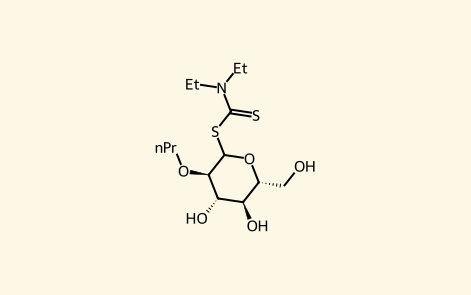 CCCO[C@H]1C(SC(=S)N(CC)CC)O[C@H](CO)[C@@H](O)[C@@H]1O